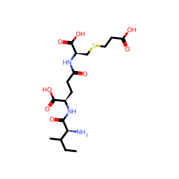 CCC(C)[C@H](N)C(=O)N[C@H](CCC(=O)N[C@H](CSCCC(=O)O)C(=O)O)C(=O)O